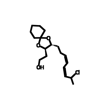 CC(Cl)/C=C\C=C/CC[C@H]1OC2(CCCCC2)O[C@@H]1CCO